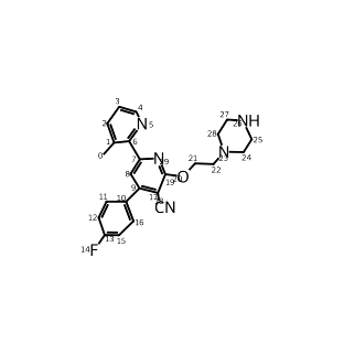 Cc1cccnc1-c1cc(-c2ccc(F)cc2)c(C#N)c(OCCN2CCNCC2)n1